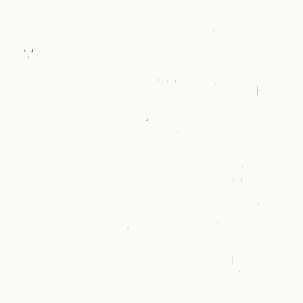 COCOc1cc(OS(=O)(=O)C(F)(F)F)c2c(OC(F)(F)F)c(F)ccc2c1